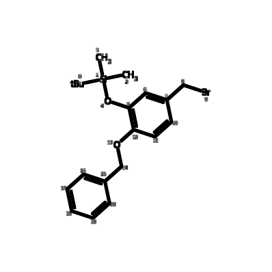 CC(C)(C)[Si](C)(C)Oc1cc(CBr)ccc1OCc1ccccc1